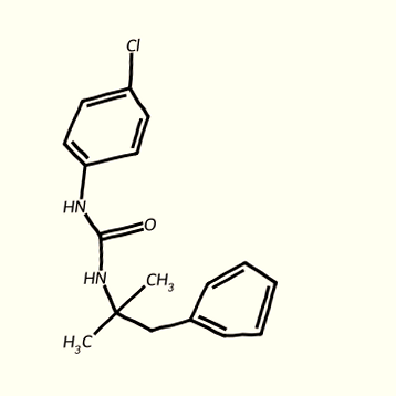 CC(C)(Cc1ccccc1)NC(=O)Nc1ccc(Cl)cc1